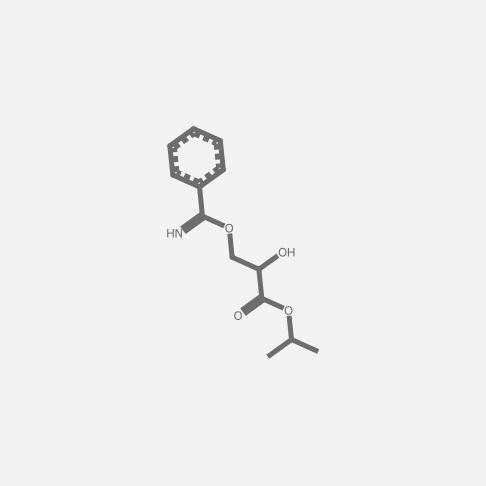 CC(C)OC(=O)C(O)COC(=N)c1ccccc1